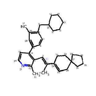 C/C(=C\c1c(-c2ccc(CC3CCCCC3)c(C#N)c2)ccnc1C)C1=CCC2(CCCC2)CC1